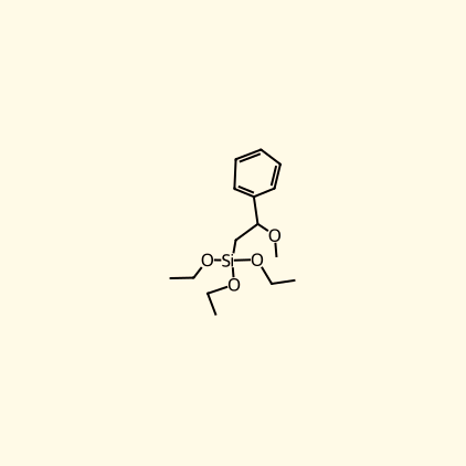 CCO[Si](CC(OC)c1ccccc1)(OCC)OCC